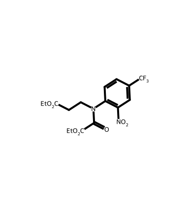 CCOC(=O)CCN(C(=O)C(=O)OCC)c1ccc(C(F)(F)F)cc1[N+](=O)[O-]